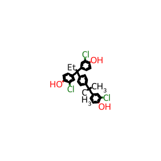 CCC(c1ccc(C(C)(C)c2ccc(O)c(Cl)c2)cc1)(c1ccc(O)c(Cl)c1)c1ccc(O)c(Cl)c1